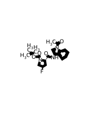 CC(=O)n1cc(NC(=O)[C@@H]2C[C@@H](F)CN2C(=O)OC(C)(C)C)c2ccccc21